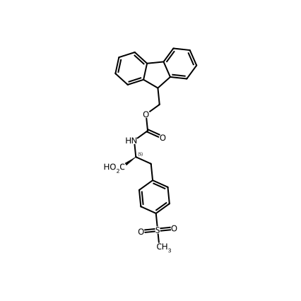 CS(=O)(=O)c1ccc(C[C@H](NC(=O)OCC2c3ccccc3-c3ccccc32)C(=O)O)cc1